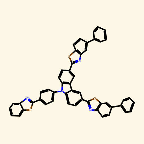 c1ccc(-c2ccc3sc(-c4ccc5c(c4)c4cc(-c6nc7ccc(-c8ccccc8)cc7s6)ccc4n5-c4ccc(-c5nc6ccccc6s5)cc4)nc3c2)cc1